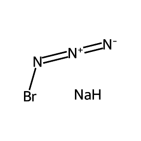 [N-]=[N+]=NBr.[NaH]